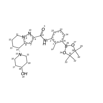 Cc1c(NC(=O)c2cc3n(n2)CCC[C@H]3N2CCC(O)CC2)cccc1B1OC(C)(C)C(C)(C)O1